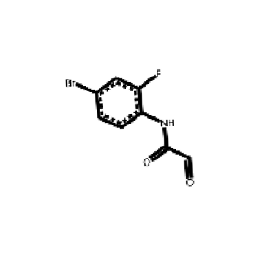 O=CC(=O)Nc1ccc(Br)cc1F